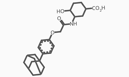 O=C(COc1ccc(C23CC4CC(CC(C4)C2)C3)cc1)NC1CC(C(=O)O)CCC1O